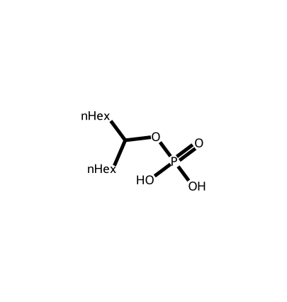 CCCCCCC(CCCCCC)OP(=O)(O)O